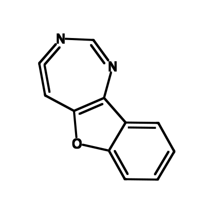 C1=Cc2oc3ccccc3c2N=CN=1